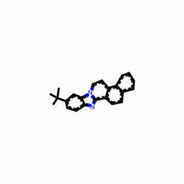 CC(C)(C)c1ccc2nc3c4ccc5ccccc5c4ccn3c2c1